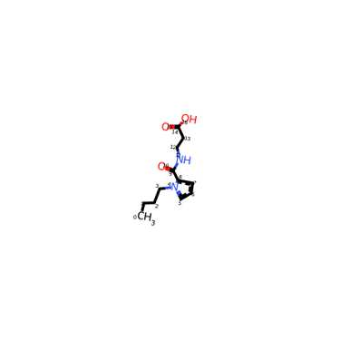 CCCCn1cccc1C(=O)NCCC(=O)O